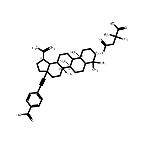 C=C(C)[C@@H]1CCC2(C#Cc3ccc(C(=O)O)cc3)CC[C@]3(C)C(CCC4[C@@]5(C)CC[C@H](OC(=O)CC(C)(C)C(=O)O)C(C)(C)C5CC[C@]43C)C12